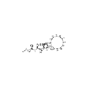 CCOC(=O)CC(=O)Nc1cc(C2(C)CCCCCCCCCCC2)n[nH]1